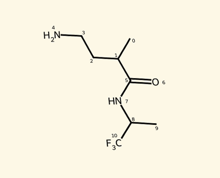 CC(CCN)C(=O)NC(C)C(F)(F)F